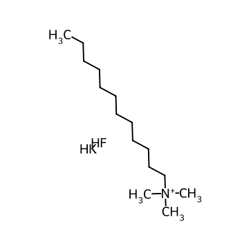 CCCCCCCCCCCC[N+](C)(C)C.F.[KH]